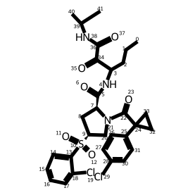 CCCC(NC(=O)[C@@H]1C[C@@H](S(=O)(=O)c2ccccc2Cl)CN1C(=O)C1(c2ccc(Cl)cc2)CC1)C(=O)C(=O)NC(C)C